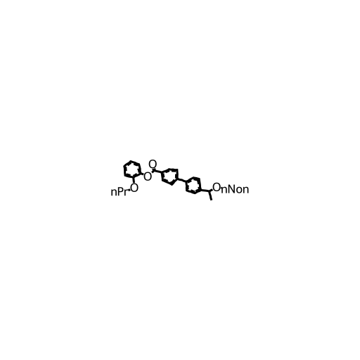 CCCCCCCCCOC(C)c1ccc(-c2ccc(C(=O)Oc3ccccc3OCCC)cc2)cc1